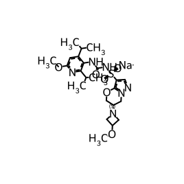 COc1cc(C(C)C)c(NC(=O)NS(=O)(=O)c2cnn3c2OC[C@@H](N2CC(OC)C2)C3)c(C(C)C)n1.[Na]